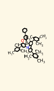 Cc1cc(C)c(-c2cc3c4c(c2)-n2c5ccc(-c6c(C)cc(C)cc6C)cc5c5cc(-c6c(C)cc(C)cc6C)cc(c52)B4c2ccc(-c4ccccc4)cc2O3)c(C)c1